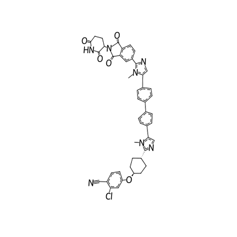 Cn1c(-c2ccc(-c3ccc(-c4cnc([C@H]5CC[C@H](Oc6ccc(C#N)c(Cl)c6)CC5)n4C)cc3)cc2)cnc1-c1ccc2c(c1)C(=O)N(C1CCC(=O)NC1=O)C2=O